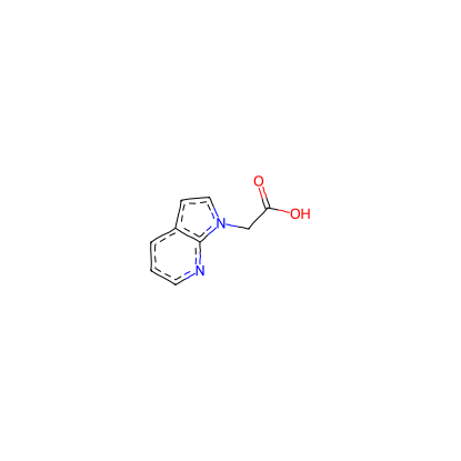 O=C(O)Cn1ccc2cccnc21